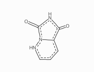 O=c1[nH]c(=O)n2[nH]cccc1-2